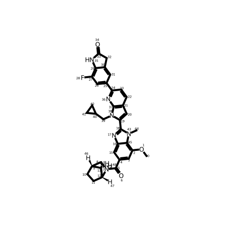 COc1cc(C(=O)N2C[C@H]3CC[C@@H]2[C@@H]3N)cc2nc(-c3cc4ccc(-c5cc(F)c6c(c5)CC(=O)N6)nc4n3CC3CC3)n(C)c12